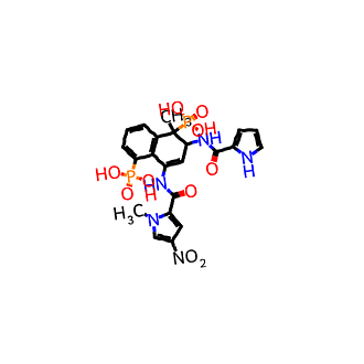 Cn1cc([N+](=O)[O-])cc1C(=O)NC1=CC(NC(=O)c2ccc[nH]2)C(C)(P(=O)(O)O)c2cccc(P(=O)(O)O)c21